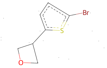 Brc1ccc(C2COC2)s1